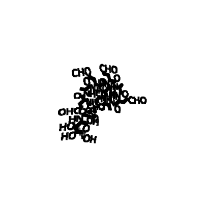 CC(NC(=O)C(CCC=O)NC=O)C(=O)NC(CCC=O)C(=O)NC(C)C(=O)NC(CCC=O)C(=O)NC(C)C(=O)NC(CCC=O)C(=O)NC(C)C(=O)NC(CSCCS(=O)(=O)CC(=O)NC1C(O)O[C@H](CO)[C@@H](O)[C@@H]1O)C(=O)O